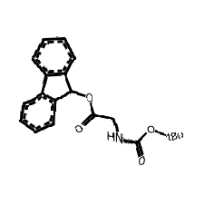 CC(C)(C)OC(=O)NCC(=O)OC1c2ccccc2-c2ccccc21